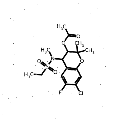 CCS(=O)(=O)N(C)C1c2cc(F)c(Cl)cc2OC(C)(C)C1OC(C)=O